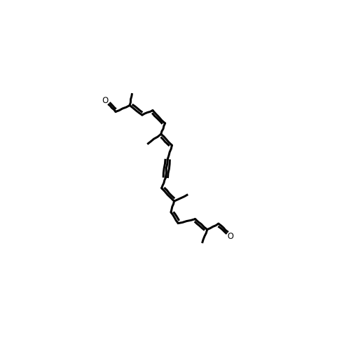 C\C(C=O)=C/C=C\C(C)=C\C#C/C=C(C)/C=C\C=C(/C)C=O